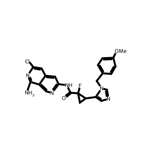 COc1ccc(Cn2cncc2C2CC2(F)C(=O)Nc2cc3cc(Cl)nc(N)c3cn2)cc1